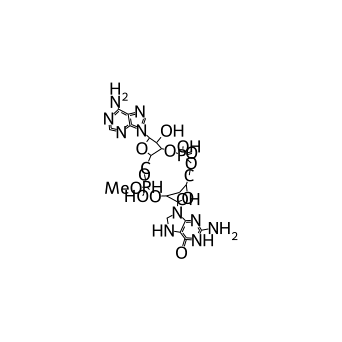 CO[PH]1(O)OCC2OC(n3cnc4c(N)ncnc43)C(O)C2OP(=O)(O)OCC2OC(N3CNc4c3nc(N)[nH]c4=O)C(O1)C2O